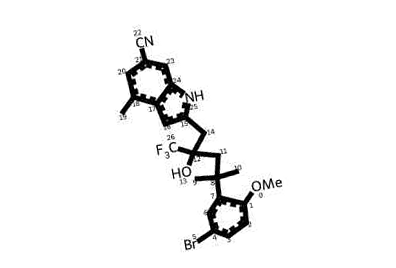 COc1ccc(Br)cc1C(C)(C)CC(O)(Cc1cc2c(C)cc(C#N)cc2[nH]1)C(F)(F)F